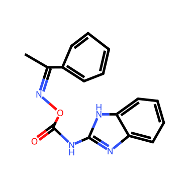 CC(=NOC(=O)Nc1nc2ccccc2[nH]1)c1ccccc1